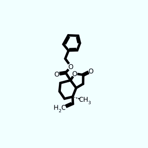 C=C[C@@]1(C)CCCC2(C(=O)OCc3ccccc3)OC(=O)CC21